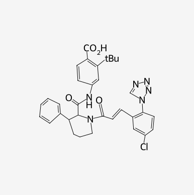 CC(C)(C)c1cc(NC(=O)C2C(c3ccccc3)CCCN2C(=O)C=Cc2cc(Cl)ccc2-n2cnnn2)ccc1C(=O)O